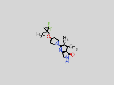 Cc1c(N2CCC(OC[C@]3(C)CC3(F)F)CC2)nc2c(c1C)C(=O)NC2